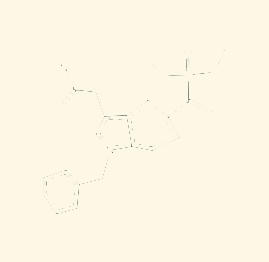 COP(=O)(OC)C(=O)c1ccc2c(c1)c(CC(N)=O)cn2Cc1ccccc1